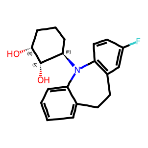 O[C@@H]1[C@H](O)CCC[C@H]1N1c2ccccc2CCc2cc(F)ccc21